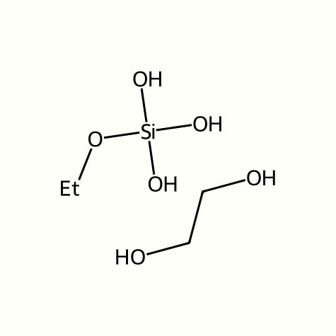 CCO[Si](O)(O)O.OCCO